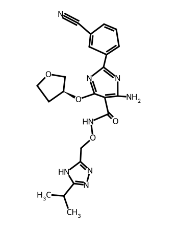 CC(C)c1nnc(CONC(=O)c2c(N)nc(-c3cccc(C#N)c3)nc2O[C@H]2CCOC2)[nH]1